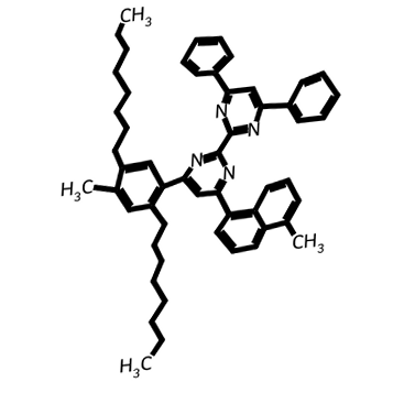 CCCCCCCCc1cc(-c2cc(-c3cccc4c(C)cccc34)nc(-c3nc(-c4ccccc4)cc(-c4ccccc4)n3)n2)c(CCCCCCCC)cc1C